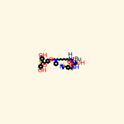 Cc1ncsc1-c1ccc([C@H](C)NC(=O)[C@@H]2C[C@@H](O)CN2C(=O)[C@@H](NC(=O)CCCCCCCN(CCOc2ccc(C(=O)c3c(-c4ccc(O)cc4)sc4cc(O)ccc34)cc2)C2CCCCC2)C(C)(C)C)cc1